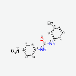 CCc1cccc(NC(=O)Nc2ccc([N+](=O)[O-])cc2)c1